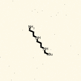 CCC(C)CNCCCNCCCN